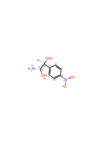 C[C@](O)(c1ccc([N+](=O)[O-])cc1)[C@@H](N)O